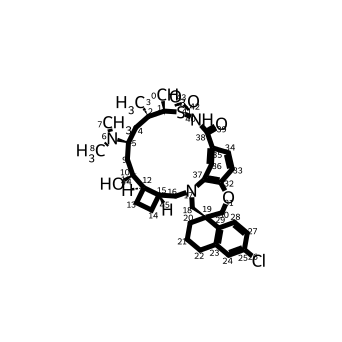 C[C@@H]1[C@@H](C)C[C@H](N(C)C)C[C@H](O)[C@@H]2CC[C@H]2CN2C[C@@]3(CCCc4cc(Cl)ccc43)COc3ccc(cc32)C(=O)NS1(=O)=O